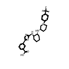 O=C(O)c1cccc(-c2cnc(NC3CCCC[C@H]3N[C@H]3CCCN(c4ccc(C(F)(F)F)cc4)C3)o2)c1